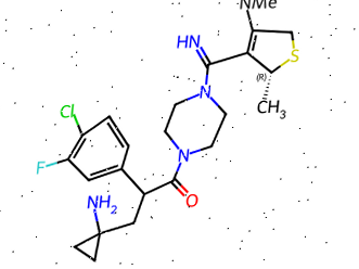 CNC1=C(C(=N)N2CCN(C(=O)C(CC3(N)CC3)c3ccc(Cl)c(F)c3)CC2)[C@@H](C)SC1